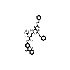 CC(C)(C)OC(=O)NC(CCCN/C(=N/C(=O)OCc1ccccc1)NC(=O)OCc1ccccc1)C(=O)Nc1ccc2c(=O)c3ccccc3oc2c1